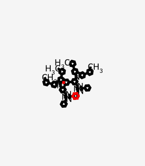 Cc1cccc(-c2ccc3c(c2)c2cc(-c4cccc(C)c4)ccc2n3-c2cc(-c3cccc(-c4cc(-c5nc(-c6ccccc6)nc(-c6ccccc6)n5)ccc4-n4c5ccc(-c6cccc(C)c6)cc5c5cc(-c6cccc(C)c6)ccc54)c3)cc(-c3nc(-c4ccccc4)nc(-c4ccccc4)n3)c2)c1